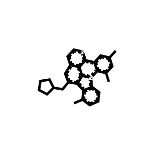 Cc1cc(C)c2c(c1)c1nccc3cc(CC4CCCC4)c4c5c(C)cccc5n2c4c31